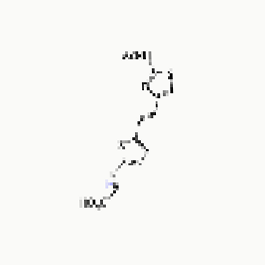 CC(=O)Nc1nc(C=Cc2ccc(/C=C/C(=O)O)s2)cs1